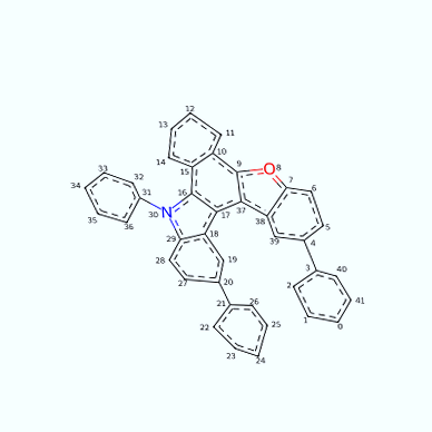 c1ccc(-c2ccc3oc4c5ccccc5c5c(c6cc(-c7ccccc7)ccc6n5-c5ccccc5)c4c3c2)cc1